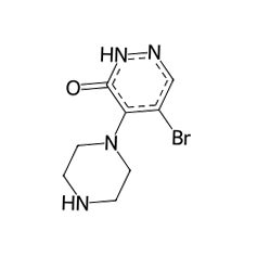 O=c1[nH]ncc(Br)c1N1CCNCC1